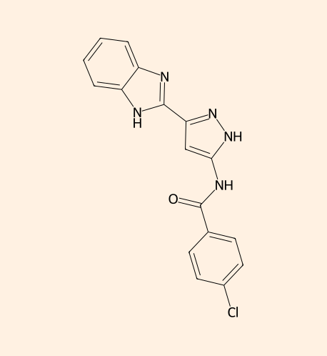 O=C(Nc1cc(-c2nc3ccccc3[nH]2)n[nH]1)c1ccc(Cl)cc1